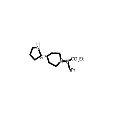 CCCN(C(=O)OCC)N1CCC([C@@H]2CCCN2)CC1